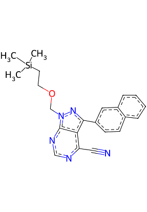 C[Si](C)(C)CCOCn1nc(-c2ccc3ccccc3c2)c2c(C#N)ncnc21